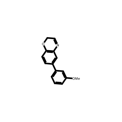 COc1cccc(-c2ccc3c(c2)N=CCO3)c1